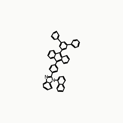 c1ccc(-c2cc(-c3ccccc3)cc(-c3c4ccccc4c(-c4ccc(-c5nc6ccccc6n5-c5cccc6ccccc56)cc4)c4ccccc34)c2)cc1